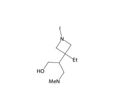 CCC1(C(CO)CNC)CN(I)C1